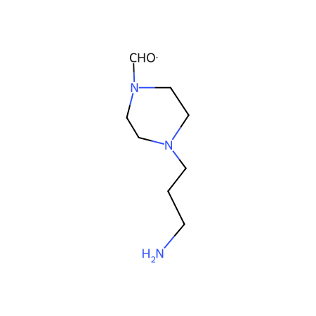 NCCCN1CCN([C]=O)CC1